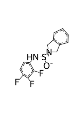 [O-][S+](Nc1ccc(F)c(F)c1F)N1Cc2ccccc2C1